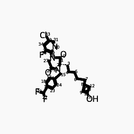 O=C1[C@H](CCCCCC23CC(O)(C2)C3)N(Cc2ccc(C(F)F)cc2)C(=O)CN1c1ncc(Cl)cc1F